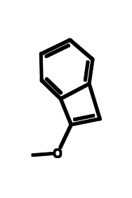 COC1=Cc2ccccc21